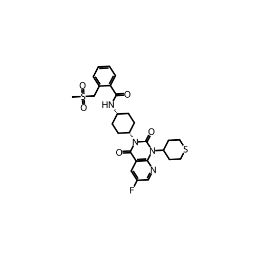 CS(=O)(=O)Cc1ccccc1C(=O)N[C@H]1CC[C@@H](n2c(=O)c3cc(F)cnc3n(C3CCSCC3)c2=O)CC1